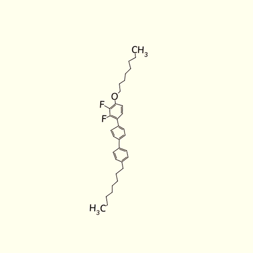 CCCCCCCCOc1ccc(-c2ccc(-c3ccc(CCCCCCCC)cc3)cc2)c(F)c1F